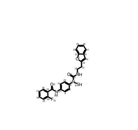 O=C(Nc1ccc(N(S)C(=O)NCCc2cc3ccccc3o2)cc1)c1ccccc1F